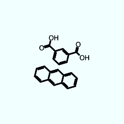 O=C(O)c1cccc(C(=O)O)c1.c1ccc2cc3ccccc3cc2c1